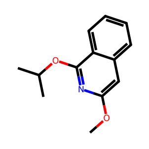 COc1cc2ccccc2c(OC(C)C)n1